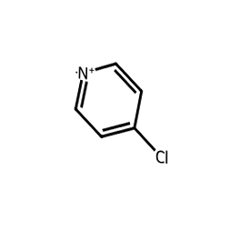 ClC1=CC=[N+]C=C1